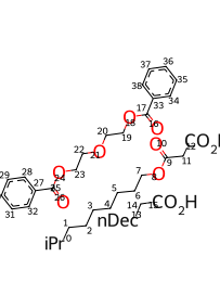 CC(C)CCCCCCCOC(=O)CC(=O)O.CCCCCCCCCCCC(=O)O.O=C(OCCOCCOC(=O)c1ccccc1)c1ccccc1